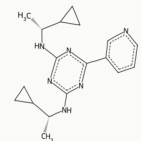 C[C@@H](Nc1nc(N[C@H](C)C2CC2)nc(-c2cccnc2)n1)C1CC1